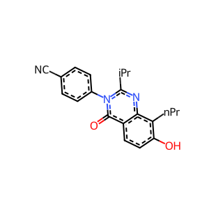 CCCc1c(O)ccc2c(=O)n(-c3ccc(C#N)cc3)c(C(C)C)nc12